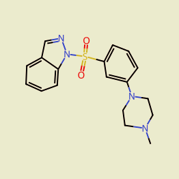 CN1CCN(c2cccc(S(=O)(=O)n3ncc4ccccc43)c2)CC1